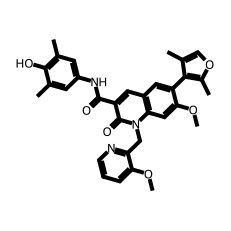 COc1cc2c(cc1-c1c(C)coc1C)cc(C(=O)Nc1cc(C)c(O)c(C)c1)c(=O)n2Cc1ncccc1OC